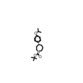 CC(C)Oc1ccc([C@@H]2CCCN(C(=O)OC(C)(C)C)CC2)cc1